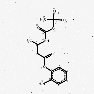 CC(CC(=O)Oc1ccccc1N)NC(=O)OC(C)(C)C